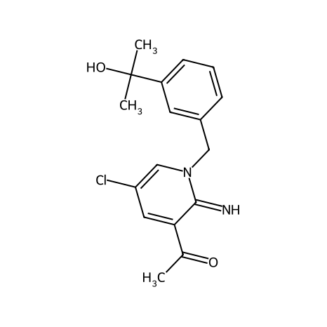 CC(=O)c1cc(Cl)cn(Cc2cccc(C(C)(C)O)c2)c1=N